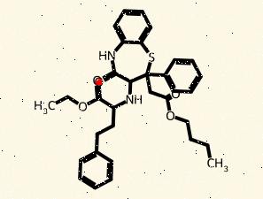 CCCCOC(=O)CC1(c2ccccc2)Sc2ccccc2NC(=O)C1NC(CCc1ccccc1)C(=O)OCC